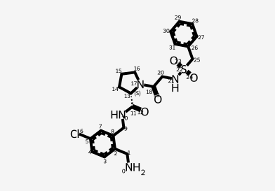 NCc1ccc(Cl)cc1CNC(=O)[C@@H]1CCCN1C(=O)CNS(=O)(=O)Cc1ccccc1